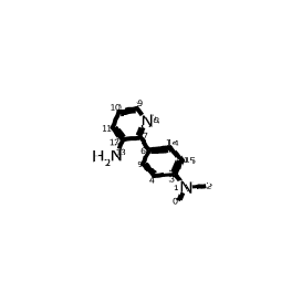 CN(C)c1ccc(-c2ncccc2N)cc1